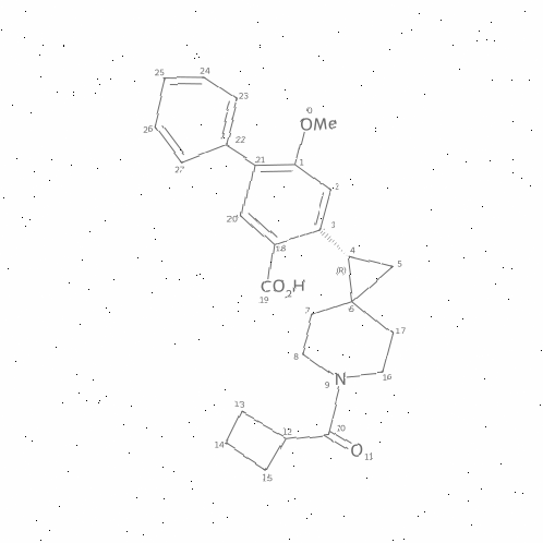 COc1cc([C@@H]2CC23CCN(C(=O)C2CCC2)CC3)c(C(=O)O)cc1-c1ccccc1